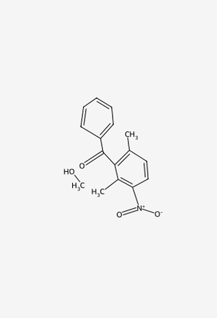 CO.Cc1ccc([N+](=O)[O-])c(C)c1C(=O)c1ccccc1